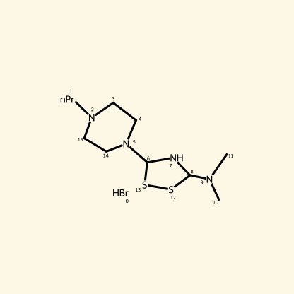 Br.CCCN1CCN(C2NC(N(C)C)SS2)CC1